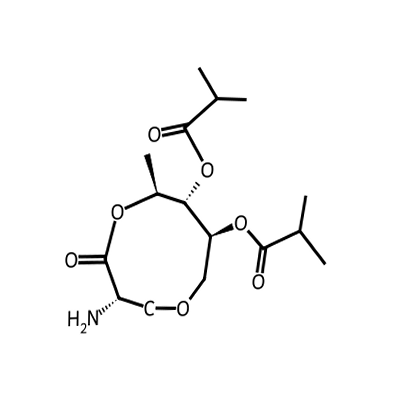 CC(C)C(=O)O[C@H]1[C@H](C)OC(=O)[C@@H](N)COC[C@@H]1OC(=O)C(C)C